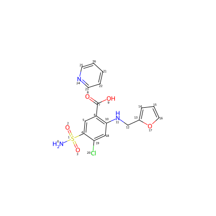 NS(=O)(=O)c1cc(C(=O)O)c(NCc2ccco2)cc1Cl.c1ccncc1